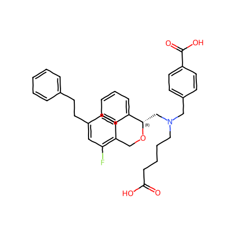 O=C(O)CCCCN(Cc1ccc(C(=O)O)cc1)C[C@H](OCc1ccc(CCc2ccccc2)cc1F)c1ccccc1